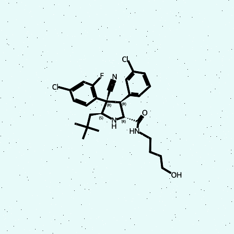 CC(C)(C)C[C@@H]1N[C@@H](C(=O)NCCCCO)[C@H](c2cccc(Cl)c2)[C@@]1(C#N)c1ccc(Cl)cc1F